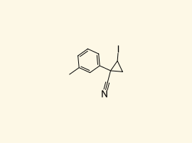 Cc1cccc(C2(C#N)CC2I)c1